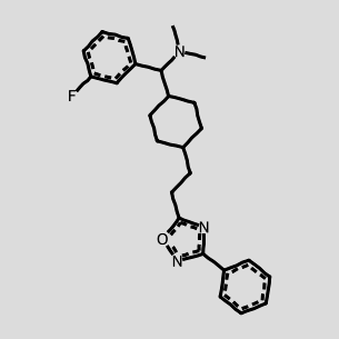 CN(C)C(c1cccc(F)c1)C1CCC(CCc2nc(-c3ccccc3)no2)CC1